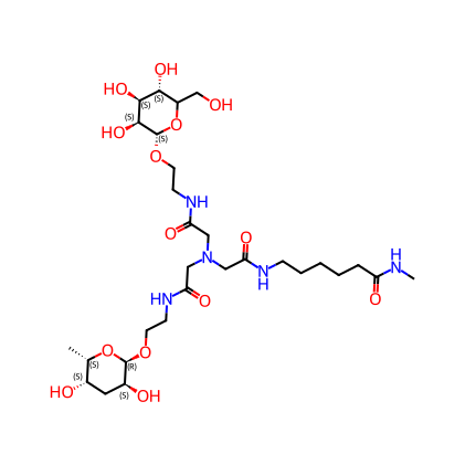 CNC(=O)CCCCCNC(=O)CN(CC(=O)NCCO[C@H]1OC(CO)[C@@H](O)[C@H](O)[C@@H]1O)CC(=O)NCCO[C@@H]1O[C@@H](C)[C@@H](O)C[C@@H]1O